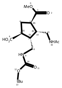 COC(=O)[C@@H]1C[C@H](C(=O)O)[C@@H](CNC(=O)OC(C)(C)C)[C@H]1CNC(C)=O